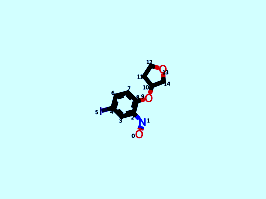 O=Nc1cc(I)ccc1OC1CCOC1